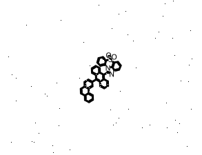 O=S1(=O)c2ccccc2-n2c(-c3c4ccccc4c(-c4ccc5ccc6ccccc6c5c4)c4ccccc34)nc3cccc1c32